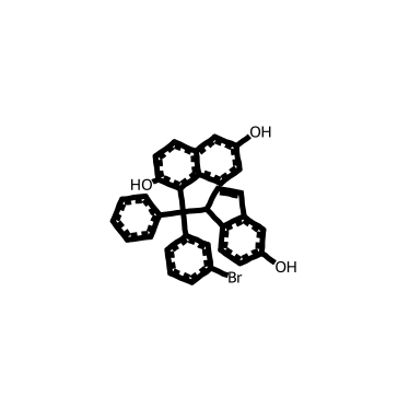 Oc1ccc2c(c1)C=CC2C(c1ccccc1)(c1cccc(Br)c1)c1c(O)ccc2cc(O)ccc12